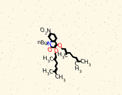 CCCCn1c(=O)c(OC/C=C(\C)CCC=C(C)C)c(OC/C=C(\C)CCC=C(C)C)c2ccc([N+](=O)[O-])cc21